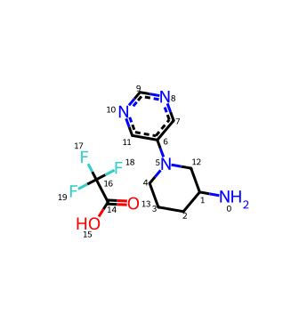 NC1CCCN(c2cncnc2)C1.O=C(O)C(F)(F)F